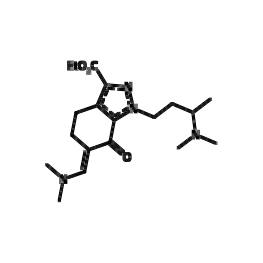 CCOC(=O)c1nn(CCC(C)N(C)C)c2c1CCC(=CN(C)C)C2=O